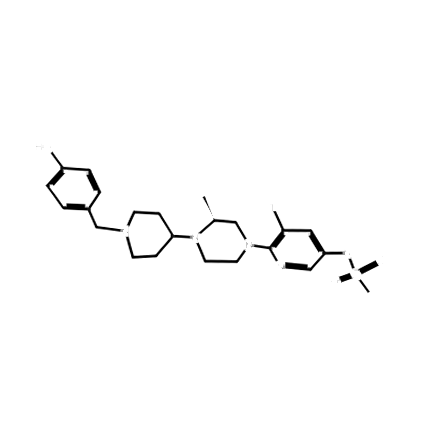 C[C@H]1CN(c2ncc(NS(C)(=O)=O)cc2Cl)CCN1C1CCN(Cc2ccc(O)cc2)CC1